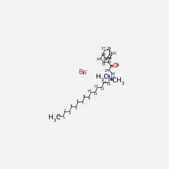 CCCCCCCCCCCCCCCC[N+](C)(C)CCC(=O)C1C2CC3CC(C2)CC1C3.[Br-]